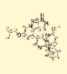 COc1ccc(CN2C3CC2CN(c2ccc(-c4cc(OCC(C)C)cn5nc6[nH]ncc6c45)cn2)C3)cn1